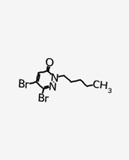 CCCCCn1nc(Br)c(Br)cc1=O